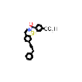 O=C(O)c1ccc(C(=O)N2C=Cc3ccc(C#CCc4ccccc4)cc3[SH]2)cc1